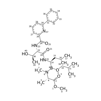 COC(=O)[C@H](C)N(C)B(OCC(C)C)[C@H](CC(C)C)NC(=O)[C@@H](NC(=O)c1cccc(-c2ccccc2)n1)[C@@H](C)O